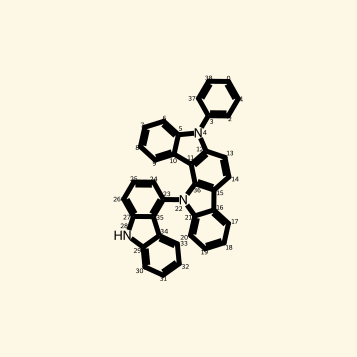 c1ccc(-n2c3ccccc3c3c2ccc2c4ccccc4n(-c4cccc5[nH]c6ccccc6c45)c23)cc1